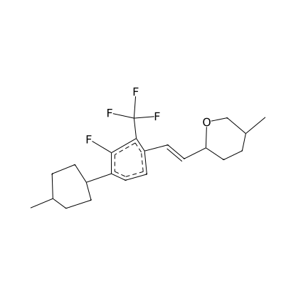 CC1CCC(c2ccc(/C=C/C3CCC(C)CO3)c(C(F)(F)F)c2F)CC1